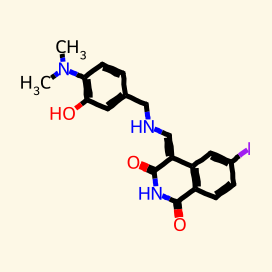 CN(C)c1ccc(CN/C=C2\C(=O)NC(=O)c3ccc(I)cc32)cc1O